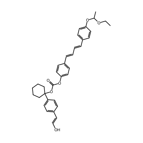 CCOC(C)Oc1ccc(C=CC=Cc2ccc(OC(=O)OC3(c4ccc(C=CO)cc4)CCCCC3)cc2)cc1